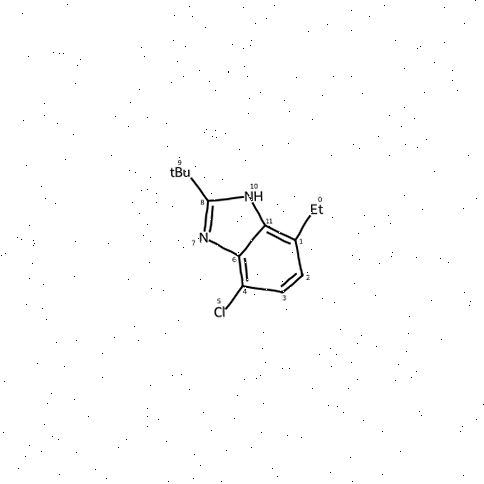 CCc1ccc(Cl)c2nc(C(C)(C)C)[nH]c12